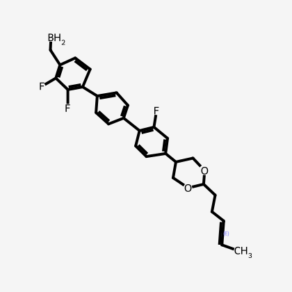 BCc1ccc(-c2ccc(-c3ccc(C4COC(CC/C=C/C)OC4)cc3F)cc2)c(F)c1F